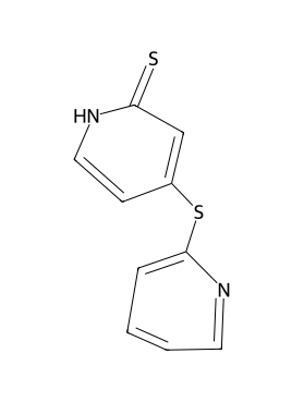 S=c1cc(Sc2ccccn2)cc[nH]1